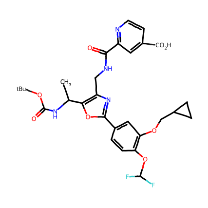 CC(NC(=O)OC(C)(C)C)c1oc(-c2ccc(OC(F)F)c(OCC3CC3)c2)nc1CNC(=O)c1cc(C(=O)O)ccn1